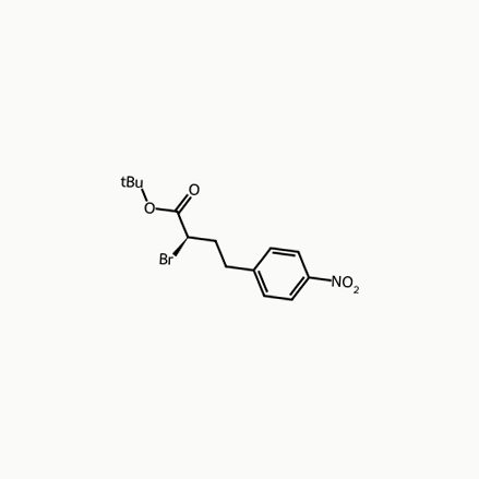 CC(C)(C)OC(=O)[C@H](Br)CCc1ccc([N+](=O)[O-])cc1